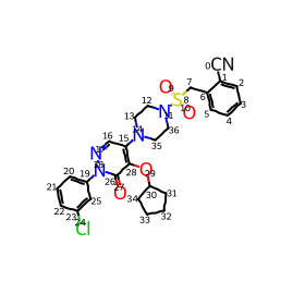 N#Cc1ccccc1CS(=O)(=O)N1CCN(c2cnn(-c3cccc(Cl)c3)c(=O)c2OC2CCCC2)CC1